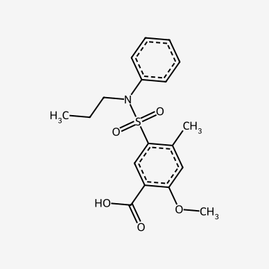 CCCN(c1ccccc1)S(=O)(=O)c1cc(C(=O)O)c(OC)cc1C